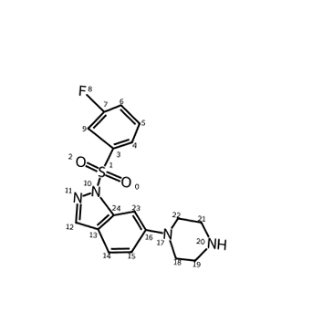 O=S(=O)(c1cccc(F)c1)n1ncc2ccc(N3CCNCC3)cc21